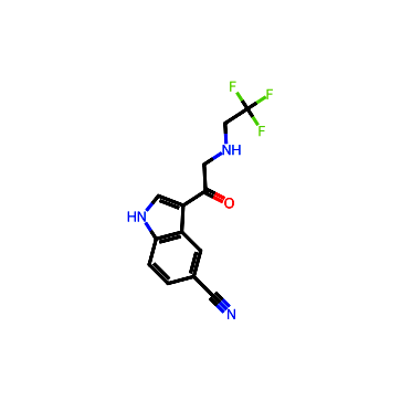 N#Cc1ccc2[nH]cc(C(=O)CNCC(F)(F)F)c2c1